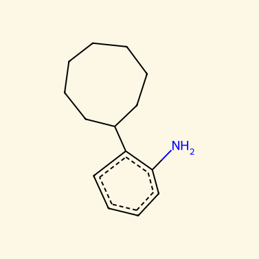 Nc1ccccc1C1CCCCCCC1